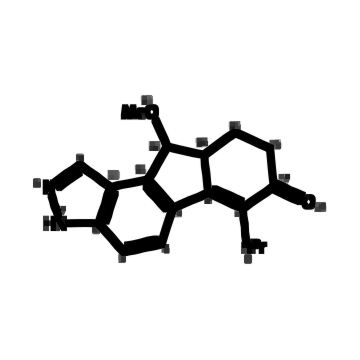 CCCC1=C2c3ccc4[nH]ncc4c3C(OC)C2CCC1=O